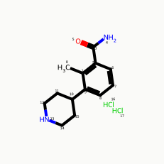 Cc1c(C(N)=O)cccc1C1CCNCC1.Cl.Cl